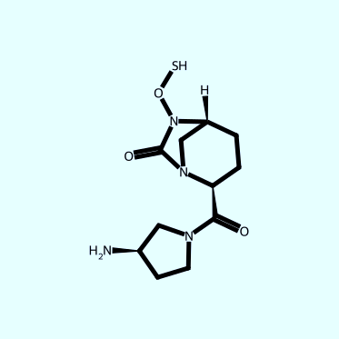 N[C@@H]1CCN(C(=O)[C@@H]2CC[C@@H]3CN2C(=O)N3OS)C1